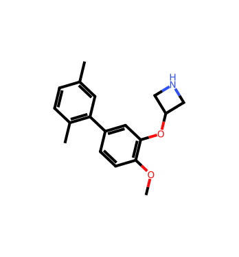 COc1ccc(-c2cc(C)ccc2C)cc1OC1CNC1